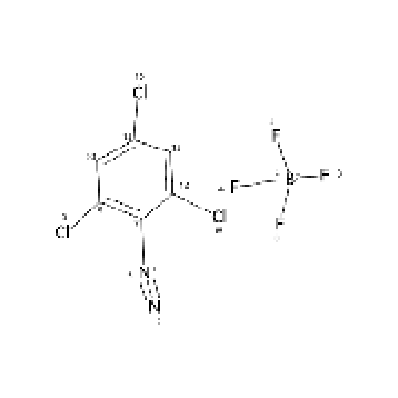 F[B-](F)(F)F.N#[N+]c1c(Cl)cc(Cl)cc1Cl